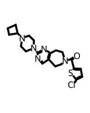 O=C(c1ccc(Cl)s1)N1CCc2cnc(N3CCN(C4CCC4)CC3)nc2CC1